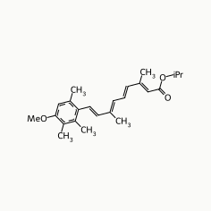 COc1cc(C)c(C=CC(C)=CC=CC(C)=CC(=O)OC(C)C)c(C)c1C